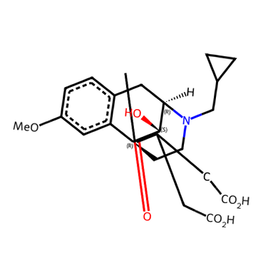 COc1ccc2c(c1)[C@]13CCN(CC4CC4)[C@H](C2)[C@]1(O)CC(CC(=O)O)(CC(=O)O)C(=O)C3